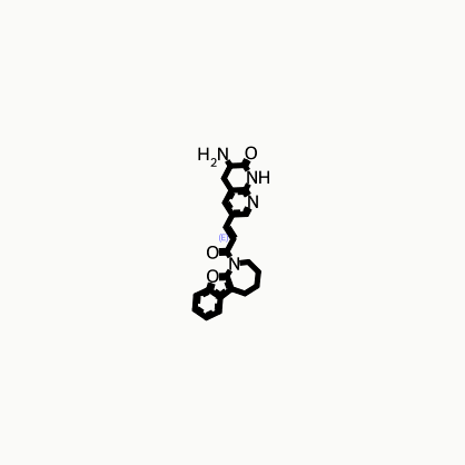 NC1Cc2cc(/C=C/C(=O)N3CCCCc4c3oc3ccccc43)cnc2NC1=O